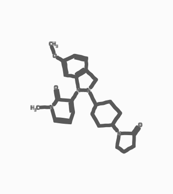 COc1ccc2c(c1)N(c1cccn(C)c1=O)N(C1CCC(N3CCCC3=O)CC1)C2